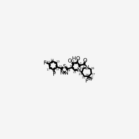 O=C1c2c(O)c(=O)c(-c3nnc(-c4ccc(F)cc4F)s3)cn2C2CN1CCC(F)(F)C2